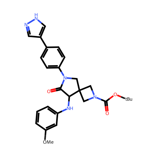 COc1cccc(NC2C(=O)N(c3ccc(-c4cn[nH]c4)cc3)CC23CN(C(=O)OC(C)(C)C)C3)c1